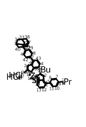 CCC(C)C1=Cc2c(-c3ccc(C(C)C)cc3)cccc2[CH]1[Zr]([CH3])([CH3])(=[SiH2])[CH]1C(C)=Cc2c(-c3ccc(C45CC6CC(CC(C6)C4)C5)cc3)cccc21.Cl.Cl